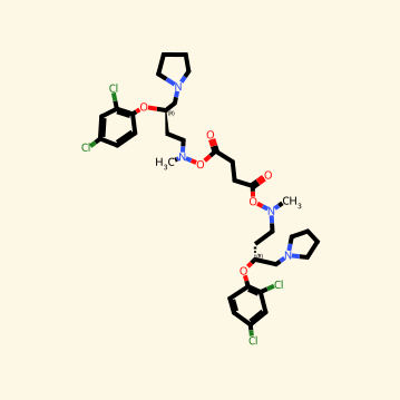 CN(CC[C@H](CN1CCCC1)Oc1ccc(Cl)cc1Cl)OC(=O)CCC(=O)ON(C)CC[C@H](CN1CCCC1)Oc1ccc(Cl)cc1Cl